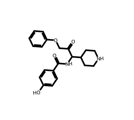 O=C(NC(C(=O)COc1ccccc1)C1CCNCC1)c1ccc(O)cc1